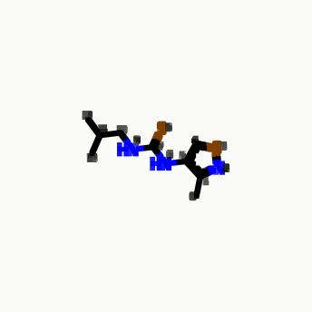 Cc1nscc1NC(=S)NCC(C)C